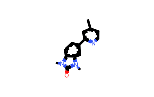 Cc1ccnc(-c2ccc3c(c2)n(C)c(=O)n3C)c1